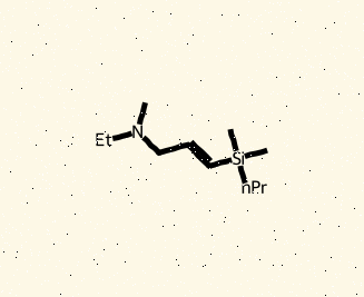 CCC[Si](C)(C)C=CCN(C)CC